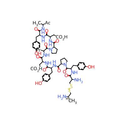 CC(=O)C(C)NC(=O)C(Cc1ccc(O)cc1)NC(=O)C(CC(=O)O)NC(=O)C1CCCN1C(=O)C(NC(=O)C(CC(=O)O)NC(=O)C(Cc1ccc(O)cc1)NC(=O)C1CCCN1C(=O)C(Cc1ccc(O)cc1)NC(=O)C(N)CSSC[C@@H](C)N)C(C)C